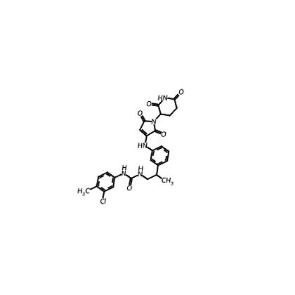 Cc1ccc(NC(=O)NCC(C)c2cccc(NC3=CC(=O)N(C4CCC(=O)NC4=O)C3=O)c2)cc1Cl